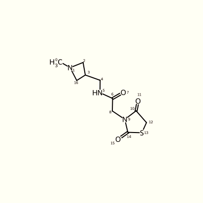 CN1CC(CNC(=O)CN2C(=O)CSC2=O)C1